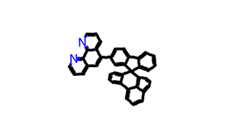 c1ccc2c(c1)-c1ccc(-c3cc4cccnc4c4ncccc34)cc1C21c2ccccc2-c2cccc3cccc1c23